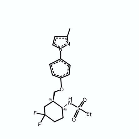 CCS(=O)(=O)N[C@@H]1CCC(F)(F)C[C@H]1COc1ccc(-n2ccc(C)n2)cc1